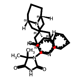 CC1(C)C(=O)NC(=O)N1c1nc2ccccc2n([C@H]2C[C@H]3CCC[C@@H](C2)N3C2C[C@H]3CCC[C@@H](C2)C3)c1=O